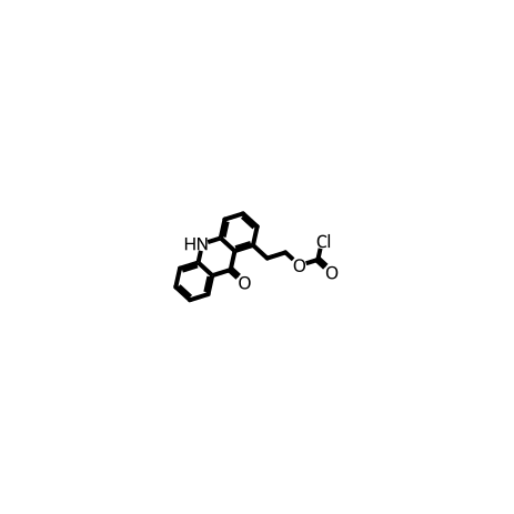 O=C(Cl)OCCc1cccc2[nH]c3ccccc3c(=O)c12